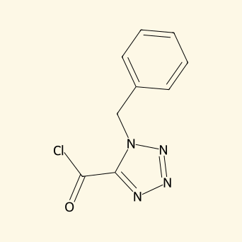 O=C(Cl)c1nnnn1Cc1ccccc1